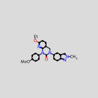 CCOc1ccc2c(n1)N(c1ccc(OC)cc1)C(=O)N(c1ccc3nn(C)cc3c1)C2